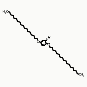 CCCCCCCCCCCCCCCCCCOC1=CC(=[N+]=[N-])C(OCCCCCCCCCCCCCCCCCC)C=C1